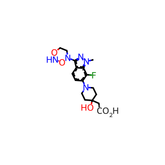 Cn1nc(N2CCONO2)c2ccc(N3CCC(O)(CC(=O)O)CC3)c(F)c21